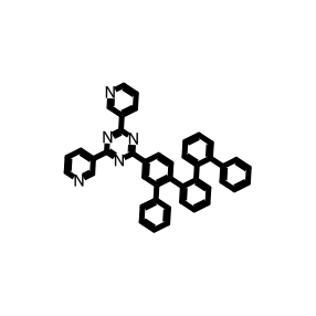 c1ccc(-c2ccccc2-c2ccccc2-c2ccc(-c3nc(-c4cccnc4)nc(-c4cccnc4)n3)cc2-c2ccccc2)cc1